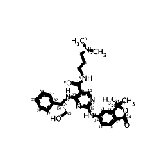 CN(C)CCCNC(=O)c1cnc(Nc2ccc3c(c2)C(C)(C)OC3=O)nc1N[C@H](CO)c1ccccc1